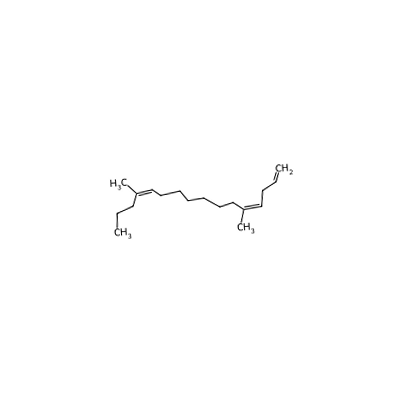 C=CCC=C(C)CCCCCCC=C(C)CCC